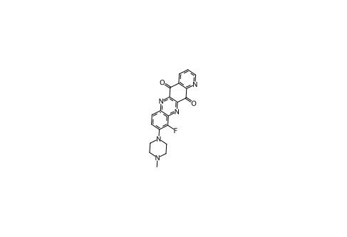 CN1CCN(c2ccc3nc4c(nc3c2F)C(=O)c2ncccc2C4=O)CC1